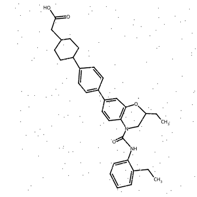 CCc1ccccc1NC(=O)N1CC(CC)Oc2cc(-c3ccc(C4CCC(CC(=O)O)CC4)cc3)ccc21